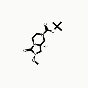 CON1C[C@@H]2CN(C(=O)OC(C)(C)C)CCN2C1=O